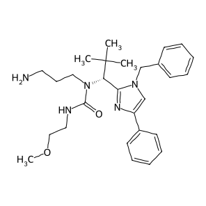 COCCNC(=O)N(CCCN)[C@@H](c1nc(-c2ccccc2)cn1Cc1ccccc1)C(C)(C)C